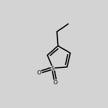 CCC1=CS(=O)(=O)C=C1